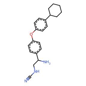 N#CNCC(N)c1ccc(Oc2ccc(C3CCCCC3)cc2)cc1